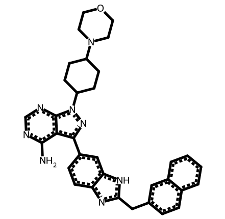 Nc1ncnc2c1c(-c1ccc3nc(Cc4ccc5ccccc5c4)[nH]c3c1)nn2C1CCC(N2CCOCC2)CC1